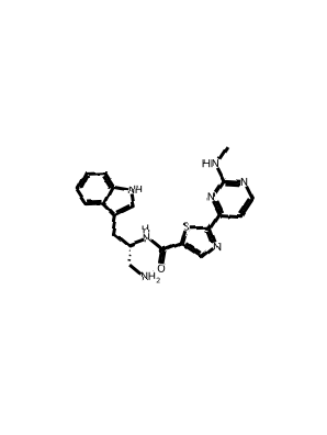 CNc1nccc(-c2ncc(C(=O)N[C@H](CN)Cc3c[nH]c4ccccc34)s2)n1